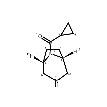 O=C(C1CC1)N1[C@@H]2CC[C@H]1CNC2